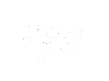 CO[C@@H]1CN(c2cccc(-c3cccc(C)c3OCc3ccc4c(c3)CCN(C(=O)OC(C)(C)C)C4)n2)CC[C@@H]1C(=O)OC(C)(C)C